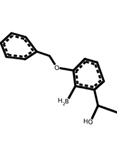 Bc1c(OCc2ccccc2)cccc1C(C)O